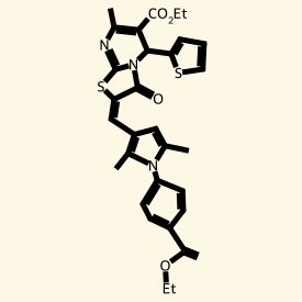 C=C(OCC)c1ccc(-n2c(C)cc(/C=c3/sc4n(c3=O)C(c3cccs3)C(C(=O)OCC)=C(C)N=4)c2C)cc1